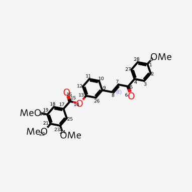 COc1ccc(C(=O)/C=C/c2cccc(OC(=O)c3cc(OC)c(OC)c(OC)c3)c2)cc1